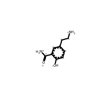 NCCc1ccc(O)c(C(N)=O)c1